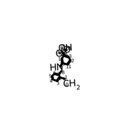 C=Cc1ccccc1CNc1cccc(S(=O)(=O)O)c1